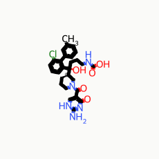 Cc1cccc(-c2c(Cl)cccc2[C@](O)(CCCNC(=O)O)[C@@H]2CCCN(C(=O)c3c[nH]c(N)nc3=O)C2)c1